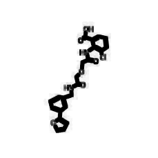 O=C(COCC(=O)Nc1c(Cl)cccc1C(=O)O)NCc1cccc(-c2ccco2)c1